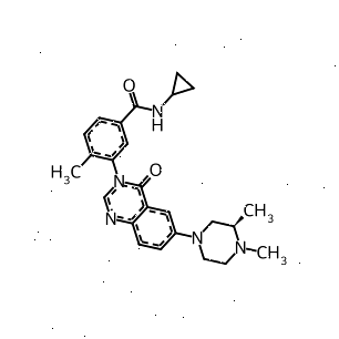 Cc1ccc(C(=O)NC2CC2)cc1-n1cnc2ccc(N3CCN(C)[C@H](C)C3)cc2c1=O